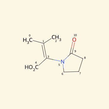 CC(C)=C(C(=O)O)N1CCCC1=O